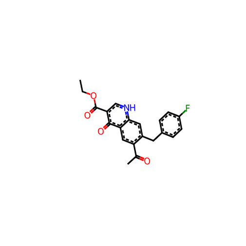 CCOC(=O)c1c[nH]c2cc(Cc3ccc(F)cc3)c(C(C)=O)cc2c1=O